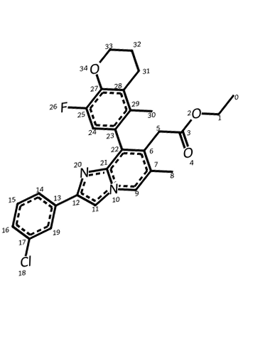 CCOC(=O)Cc1c(C)cn2cc(-c3cccc(Cl)c3)nc2c1-c1cc(F)c2c(c1C)CCCO2